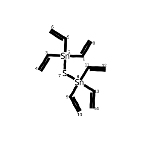 C=[CH][Sn]([CH]=C)([CH]=C)[S][Sn]([CH]=C)([CH]=C)[CH]=C